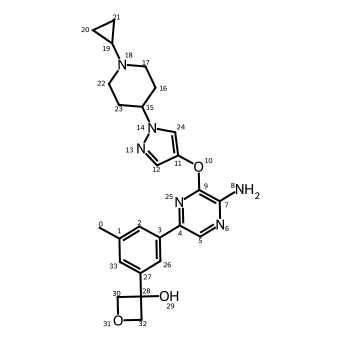 Cc1cc(-c2cnc(N)c(Oc3cnn(C4CCN(C5CC5)CC4)c3)n2)cc(C2(O)COC2)c1